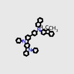 CC1(C)c2ccccc2-c2ccc(N(c3ccc(-c4ccc5c(c4)c4cc6c(cc4n5-c4ccccc4)c4ccccc4n6-c4ccccc4)cc3)c3ccc4ccccc4c3)cc21